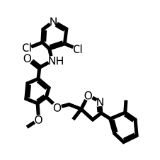 COc1ccc(C(=O)Nc2c(Cl)cncc2Cl)cc1OCC1(C)CC(c2ccccc2C)=NO1